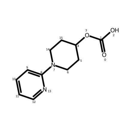 O=C(O)OC1CCN(c2ccccn2)CC1